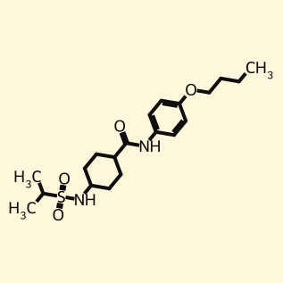 CCCCOc1ccc(NC(=O)C2CCC(NS(=O)(=O)C(C)C)CC2)cc1